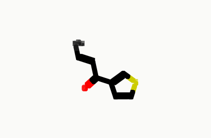 CCCCC=CC(=O)c1ccsc1